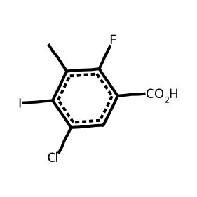 Cc1c(F)c(C(=O)O)cc(Cl)c1I